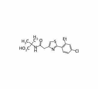 CCc1cc(Cl)ccc1-c1nc(CC(=O)NC(C)(C)C(=O)O)cs1